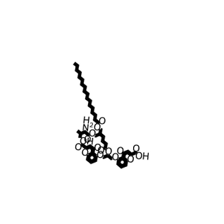 CCCCCCCCCCCCCCCCCC(=O)OCC(CCCC(=O)OC(COc1cccc2oc(C(=O)O)cc(=O)c12)COc1cccc2oc(C(=O)O)cc(=O)c12)COC(=O)[C@@H](N)C(C)C